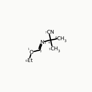 CCOC=NC(C)(C)C#N